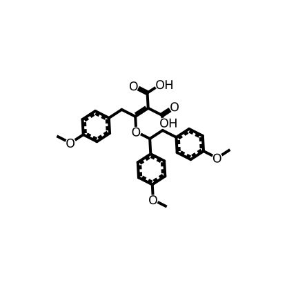 COc1ccc(CC(OC(Cc2ccc(OC)cc2)c2ccc(OC)cc2)=C(C(=O)O)C(=O)O)cc1